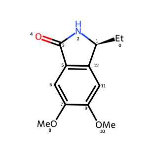 CC[C@@H]1NC(=O)c2cc(OC)c(OC)cc21